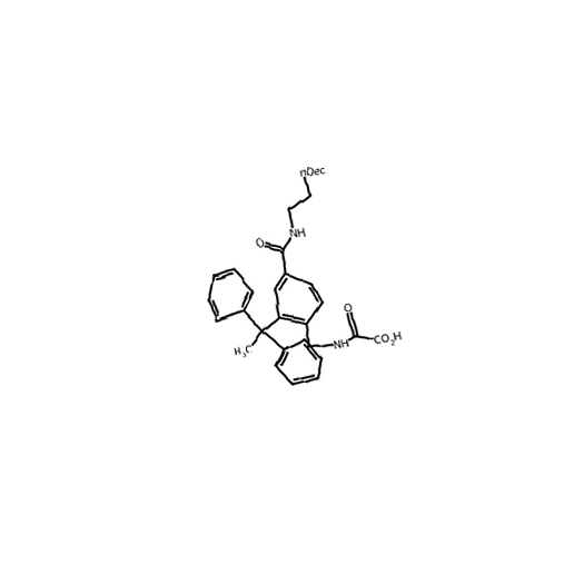 CCCCCCCCCCCCNC(=O)c1ccc(CNC(=O)C(=O)O)c(C(C)(c2ccccc2)c2ccccc2)c1